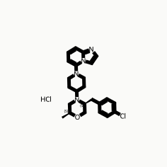 C[C@H]1CN(C2CCN(c3cccc4nccn34)CC2)[C@@H](Cc2ccc(Cl)cc2)CO1.Cl